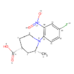 C[C@@H]1C[C@H](C(=O)O)CCN1c1ccc(F)cc1[N+](=O)[O-]